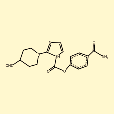 NC(=O)c1ccc(OC(=O)[SH]2C=CN=C2N2CCC(C=O)CC2)cc1